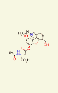 CC(C)C(=O)N[C@@H](CC(=O)OC1=CC[C@@]2(O)[C@H]3Cc4ccc(CO)c5c4C2(CCN3C)C1O5)C(=O)O